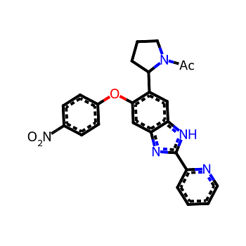 CC(=O)N1CCCC1c1cc2[nH]c(-c3ccccn3)nc2cc1Oc1ccc([N+](=O)[O-])cc1